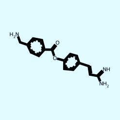 N=C(N)/C=C/c1ccc(OC(=O)c2ccc(CN)cc2)cc1